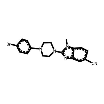 Cn1c(N2CCN(c3ccc(Br)cc3)CC2)nc2cc(C#N)ccc21